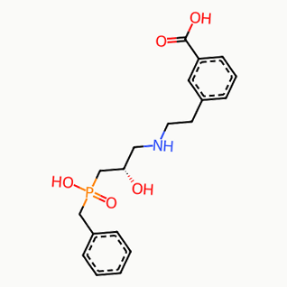 O=C(O)c1cccc(CCNC[C@H](O)CP(=O)(O)Cc2ccccc2)c1